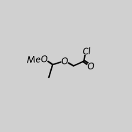 COC(C)OCC(=O)Cl